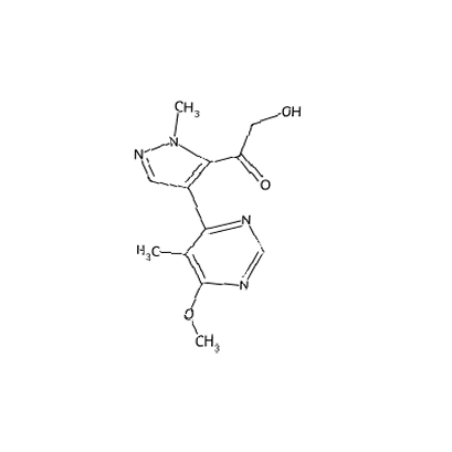 COc1ncnc(-c2cnn(C)c2C(=O)CO)c1C